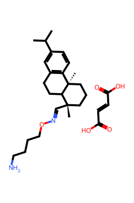 CC(C)c1ccc2c(c1)CCC1[C@@](C)(C=NOCCCCN)CCC[C@]21C.O=C(O)/C=C/C(=O)O